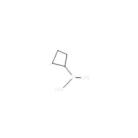 OB(O)C1CCC1